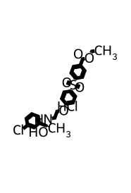 CCOC(=O)c1ccc(S(=O)(=O)c2ccc(OCCN[C@@](C)(O)c3cccc(Cl)c3)cc2)cc1.Cl